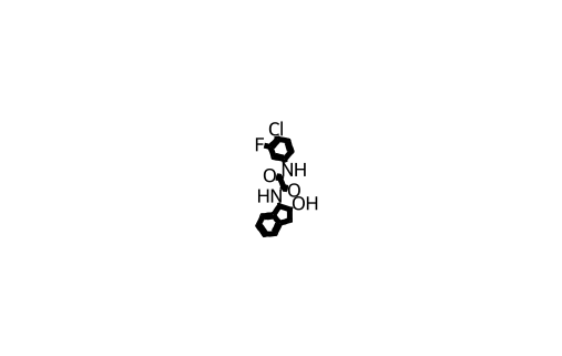 O=C(Nc1ccc(Cl)c(F)c1)C(=O)N[C@@H]1c2ccccc2C[C@H]1O